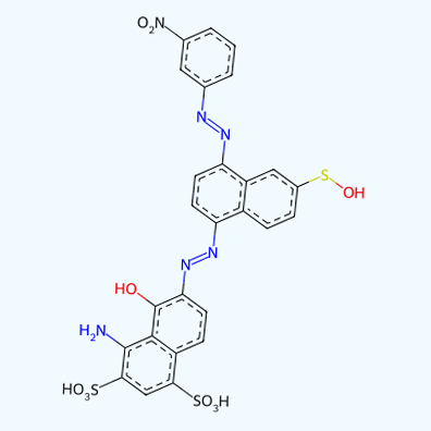 Nc1c(S(=O)(=O)O)cc(S(=O)(=O)O)c2ccc(/N=N/c3ccc(/N=N/c4cccc([N+](=O)[O-])c4)c4cc(SO)ccc34)c(O)c12